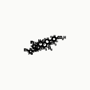 CCc1csc(N[C@]23CC[C@@H](C(C)C)C2[C@H]2CCC4[C@@]5(C)CC=C(c6ccc(C(=O)O)cc6)C(C)(C)C5CC[C@@]4(C)[C@]2(C)CC3)n1